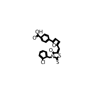 O=C(O)c1ccc(-c2ccc(C=C3SC(=S)N(Cc4ccccc4Cl)C3=O)o2)cc1